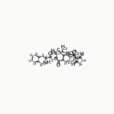 CC1(C)CN(C[C@@H](O)[C@@H]2Cc3ccccc3CN2)C(=O)c2ccc(C(=O)N3[C@@H]4CC[C@H]3C[C@H](O)C4)cc21